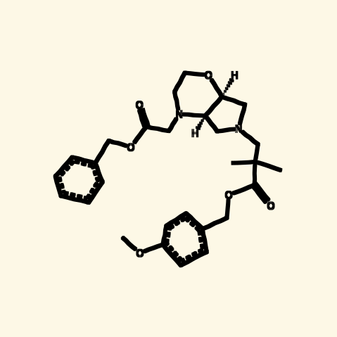 COc1ccc(COC(=O)C(C)(C)CN2C[C@@H]3OCCN(CC(=O)OCc4ccccc4)[C@@H]3C2)cc1